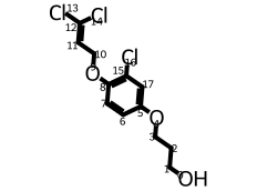 OCCCOc1ccc(OCC=C(Cl)Cl)c(Cl)c1